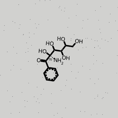 N[C@@](O)(C(=O)c1ccccc1)C(O)C(O)C(O)CO